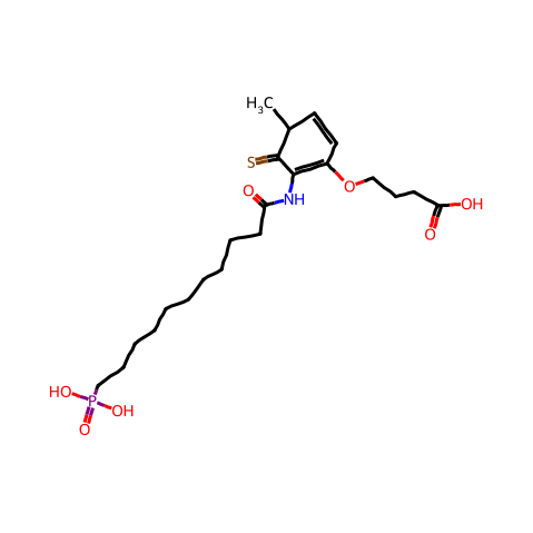 CC1C=CC(OCCCC(=O)O)=C(NC(=O)CCCCCCCCCCP(=O)(O)O)C1=S